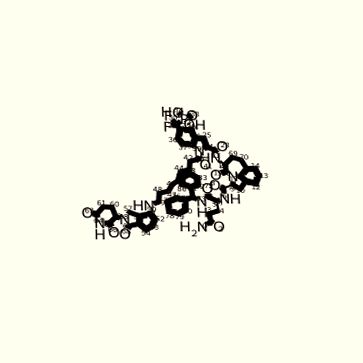 NC(=O)CC[C@H](NC(=O)[C@@H]1Cc2cccc3c2N1C(=O)[C@@H](NC(=O)c1cc2cc(C(F)(F)P(=O)(O)O)ccc2n1C(=O)CCCCCCCCNc1cccc2c1CN(C1CCC(=O)NC1=O)C2=O)CC3)C(=O)NC(c1ccccc1)c1ccccc1